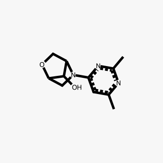 Cc1cc(N2CC3OCC2C3O)nc(C)n1